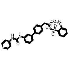 O=C(Nc1ccncc1)Nc1cccc(-c2ccc(C[C@@H](NS(=O)(=O)c3ccccc3Cl)C(=O)O)cc2)c1